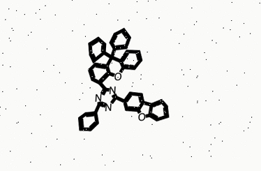 c1ccc(-c2nc(-c3ccc4c(c3)oc3ccccc34)nc(-c3cccc4c3Oc3ccccc3C4(c3ccccc3)c3ccccc3)n2)cc1